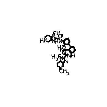 CN1CCc2c(nc(C(=O)Nc3cccc(-c4cccc(NC(=O)c5nc6c(n5C)CCNC6)c4O)c3C#N)n2C)C1